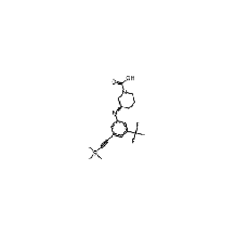 C[Si](C)(C)C#Cc1cc(N=C2CCCN(C(=O)O)C2)cc(C(F)(F)F)c1